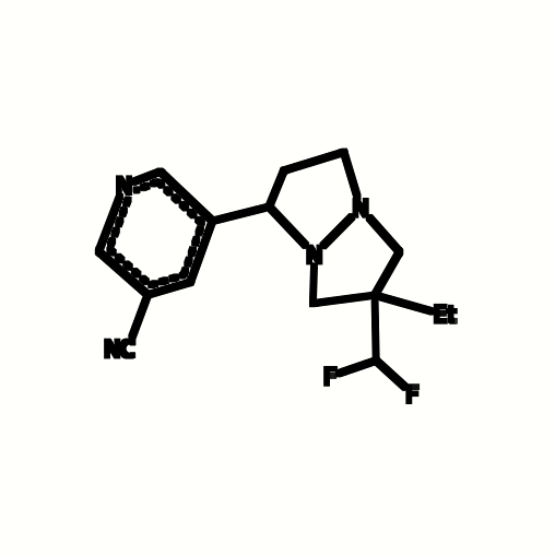 CCC1(C(F)F)CN2CCC(c3cncc(C#N)c3)N2C1